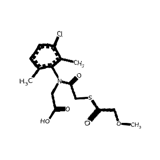 COCC(=O)SCC(=O)N(CC(=O)O)c1c(C)ccc(Cl)c1C